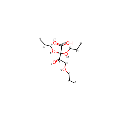 CCCOCC(=O)C(OCCC)(OCCC)C(=O)O